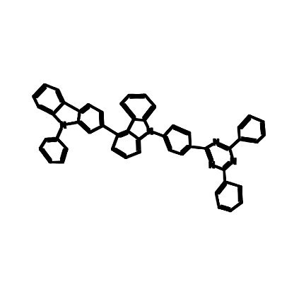 c1ccc(-c2nc(-c3ccccc3)nc(-c3ccc(-n4c5ccccc5c5c(-c6ccc7c8ccccc8n(-c8ccccc8)c7c6)cccc54)cc3)n2)cc1